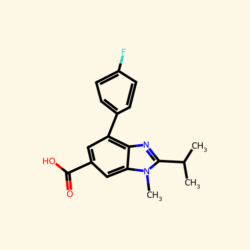 CC(C)c1nc2c(-c3ccc(F)cc3)cc(C(=O)O)cc2n1C